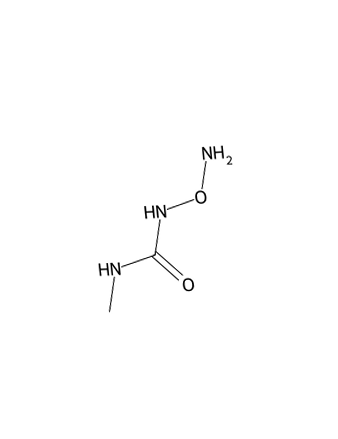 CNC(=O)NON